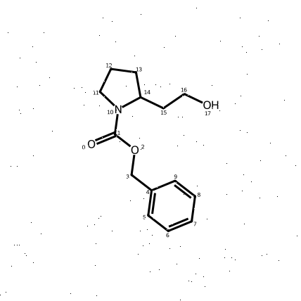 O=C(OCc1ccccc1)N1CCCC1CCO